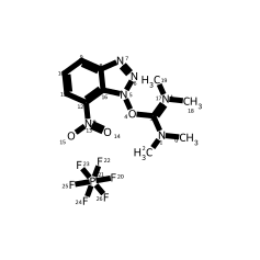 CN(C)C(On1nnc2cccc([N+](=O)[O-])c21)=[N+](C)C.F[P-](F)(F)(F)(F)F